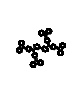 c1ccc2c(c1)c1ccccc1n2-c1ccc(N(c2ccc(-n3c4ccccc4c4ccccc43)cc2)c2cc(-c3ccnc(N(c4ccc(-n5c6ccccc6c6ccccc65)cc4)c4ccc(-n5c6ccccc6c6ccccc65)cc4)c3)ccn2)cc1